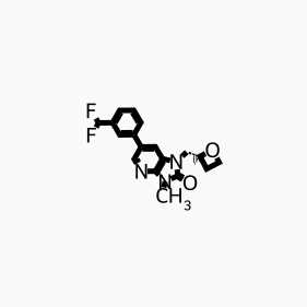 Cn1c(=O)n(C[C@H]2CCO2)c2cc(-c3cccc(C(F)F)c3)cnc21